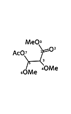 COC(=O)C(OC)C(OC)OC(C)=O